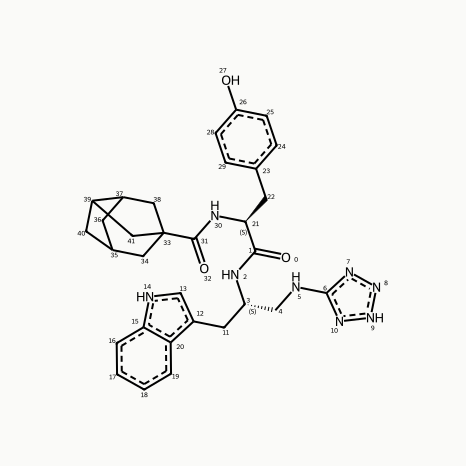 O=C(N[C@H](CNc1nn[nH]n1)Cc1c[nH]c2ccccc12)[C@H](Cc1ccc(O)cc1)NC(=O)C12CC3CC(C1)C(C3)C2